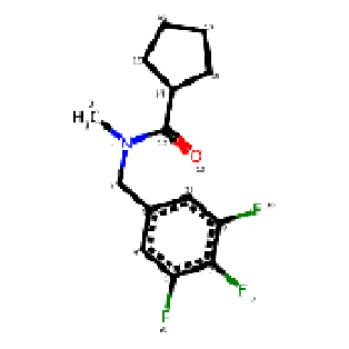 CN(Cc1cc(F)c(F)c(F)c1)C(=O)C1CCCC1